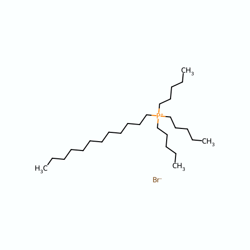 CCCCCCCCCCCC[P+](CCCCC)(CCCCC)CCCCC.[Br-]